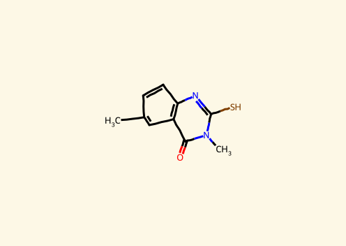 Cc1ccc2nc(S)n(C)c(=O)c2c1